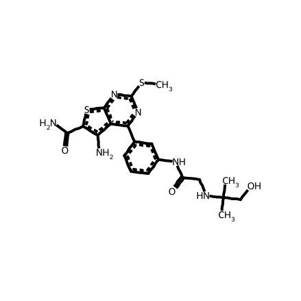 CSc1nc(-c2cccc(NC(=O)CNC(C)(C)CO)c2)c2c(N)c(C(N)=O)sc2n1